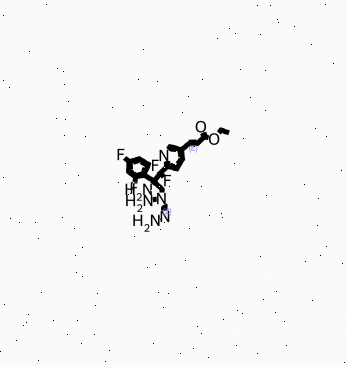 CCOC(=O)/C=C/c1ccc(C(F)(F)C(N)(CN(N)/C=N\N)c2ccc(F)cc2F)nc1